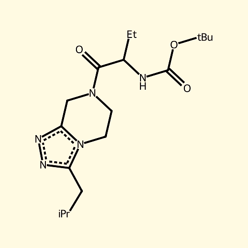 CCC(NC(=O)OC(C)(C)C)C(=O)N1CCn2c(CC(C)C)nnc2C1